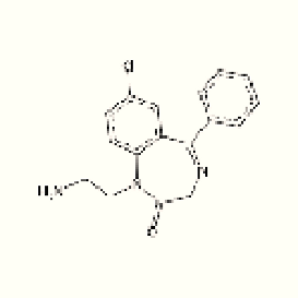 NCCN1C(=O)CN=C(c2ccccc2)c2cc(Cl)ccc21